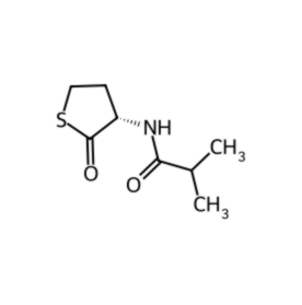 CC(C)C(=O)N[C@H]1CCSC1=O